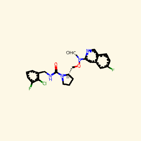 O=CN(OC[C@@H]1CCCN1C(=O)NCc1cccc(F)c1Cl)c1cc2cc(F)ccc2cn1